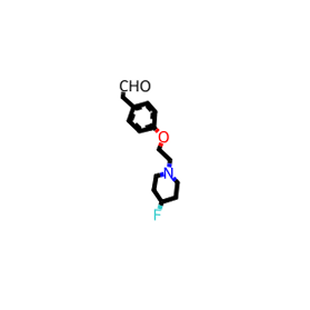 O=CCc1ccc(OCCN2CCC(F)CC2)cc1